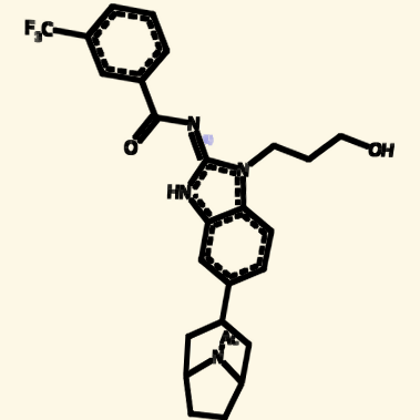 CC(=O)N1C2CCC1CC(c1ccc3c(c1)[nH]/c(=N\C(=O)c1cccc(C(F)(F)F)c1)n3CCCO)C2